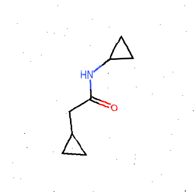 O=C(CC1CC1)NC1CC1